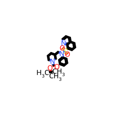 CC(C)(C)OC(=O)N1CCCC(CN(c2ccccc2)S(=O)(=O)c2cccc3cccnc23)C1